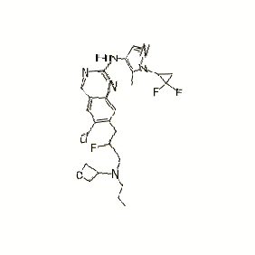 CCCN(CC(F)Cc1cc2nc(Nc3cnn(C4CC4(F)F)c3C)ncc2cc1Cl)C1COC1